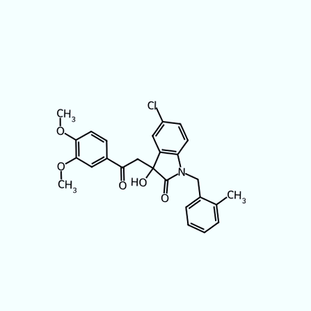 COc1ccc(C(=O)CC2(O)C(=O)N(Cc3ccccc3C)c3ccc(Cl)cc32)cc1OC